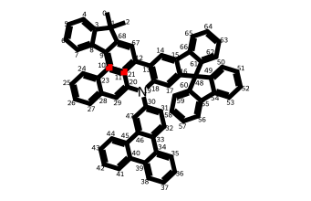 CC1(C)c2ccccc2-c2ccc(-c3cc4c(cc3N(c3ccc5ccccc5c3)c3ccc5c6ccccc6c6ccccc6c5c3)C3(c5ccccc5-c5ccccc53)c3ccccc3-4)cc21